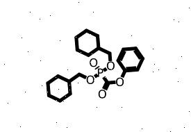 O=C(Oc1ccccc1)P(=O)(OCC1CCCCC1)OCC1CCCCC1